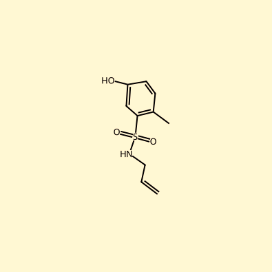 C=CCNS(=O)(=O)c1cc(O)ccc1C